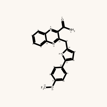 NC(=O)c1nc2ccccc2nc1Cc1ccc(-c2ccc(OC(F)(F)F)cc2)s1